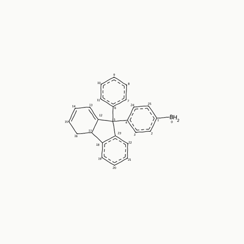 Bc1ccc(C2(c3ccccc3)C3=CC=CCC3c3ccccc32)cc1